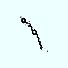 CCCCCCCCCC1CCC(CCC2COC(c3ccc(F)cc3)OC2)CC1